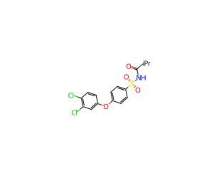 CC(C)C(=O)NS(=O)(=O)c1ccc(Oc2ccc(Cl)c(Cl)c2)cc1